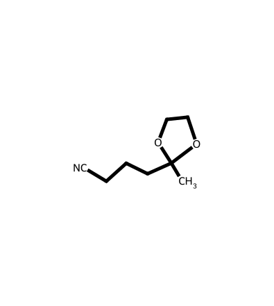 CC1(CCCC#N)OCCO1